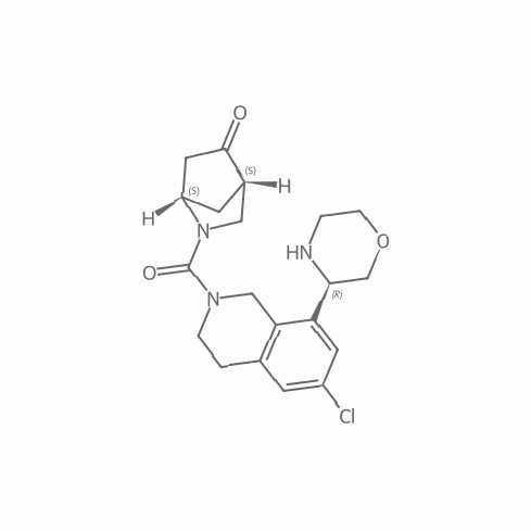 O=C1C[C@@H]2C[C@H]1CN2C(=O)N1CCc2cc(Cl)cc([C@@H]3COCCN3)c2C1